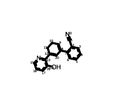 N#Cc1ccccc1C1=C[CH]CC(c2ncccc2O)=C1